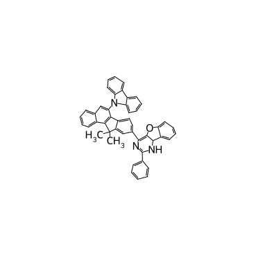 CC1(C)c2cc(C3=C4Oc5ccccc5C4NC(c4ccccc4)=N3)ccc2-c2c(-n3c4ccccc4c4ccccc43)cc3ccccc3c21